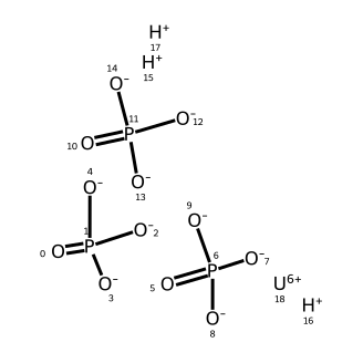 O=P([O-])([O-])[O-].O=P([O-])([O-])[O-].O=P([O-])([O-])[O-].[H+].[H+].[H+].[U+6]